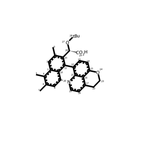 Cc1cc2c(C)c(C)ccc2c(-c2ccc3c4c(ccnc24)CCO3)c1[C@H](OC(C)(C)C)C(=O)O